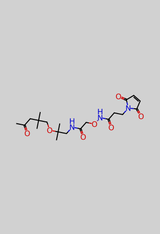 CC(=O)CC(C)(C)COC(C)(C)CNC(=O)CONC(=O)CCN1C(=O)C=CC1=O